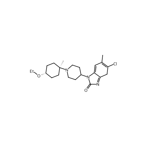 CCO[C@H]1CC[C@](C)(N2CCC(N3C(=O)N=C4CC(Cl)=C(C)C=C43)CC2)CC1